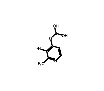 [2H]c1c(OB(O)O)ccnc1C(F)(F)F